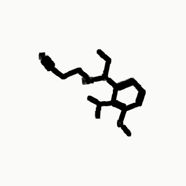 CCN(NCCC#N)c1cccc(OC)c1C(C)C